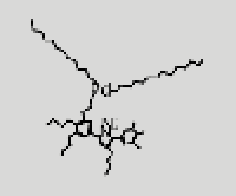 CCCCC1=C(c2cc(C)c(C)c(C)c2)[N+](=[N-])C(c2cc(CCCC)c(CCCC)c(CCCC)c2)=C1.CCCCCCCCCCCCC[CH2][Pd][CH2]CCCCCCCCCCCCC